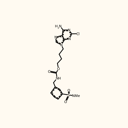 CNS(=O)(=O)c1cccc(CNC(=O)OCCCCn2cnc3c(N)nc(Cl)nc32)c1